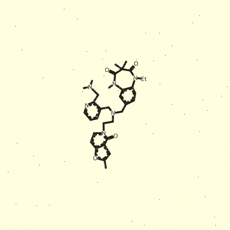 CCN1C(=O)C(C)(C)C(=O)N(C)c2cc(CN(CCn3ccc4oc(C)cc4c3=O)Cc3cccnc3CN(C)C)ccc21